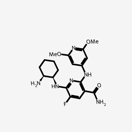 COc1cc(Nc2nc(N[C@@H]3CCCC[C@@H]3N)c(F)cc2C(N)=O)cc(OC)n1